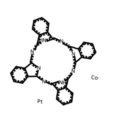 [Co].[Pt].c1ccc2c(c1)-c1nc-2nc2[nH]c(nc3nc(nc4[nH]c(n1)c1ccccc41)-c1ccccc1-3)c1ccccc21